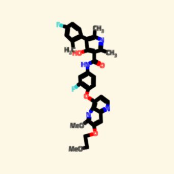 COCCOc1cc2nccc(Oc3ccc(NC(=O)c4c(C)nc(C)c(-c5ccc(F)cc5C)c4O)cc3F)c2nc1OC